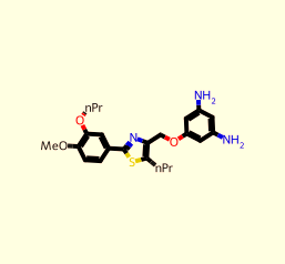 CCCOc1cc(-c2nc(COc3cc(N)cc(N)c3)c(CCC)s2)ccc1OC